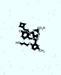 Cc1ccc(OCCCO)c(-c2nc3nc(C(=O)O)nc(NCCC4CCC4)c3n2Cc2ccc(Cl)cc2)c1